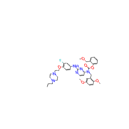 CCCN1CCN(CCOc2ccc(Nc3nccc(N(Cc4cc(OC)ccc4OC)C(=O)Oc4ccccc4COC)n3)cc2F)CC1